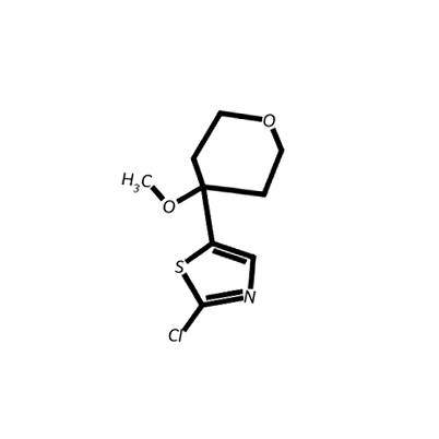 COC1(c2cnc(Cl)s2)CCOCC1